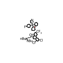 CCCCN(CCCC)CCC(O)c1cc2c(Cl)cc(Cl)cc2c2cc(C(F)(F)F)ccc12.Fc1ccc(C(c2ccccc2)(c2ccccc2F)n2ccnc2)cc1